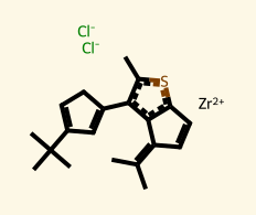 CC(C)=C1C=Cc2sc(C)c(C3=CC(C(C)(C)C)=CC3)c21.[Cl-].[Cl-].[Zr+2]